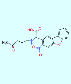 CC(=O)CCCNC(C(=O)O)c1cc2c(cc1[N+](=O)[O-])oc1ccccc12